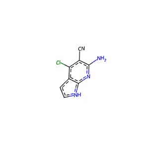 N#Cc1c(N)nc2[nH]ccc2c1Cl